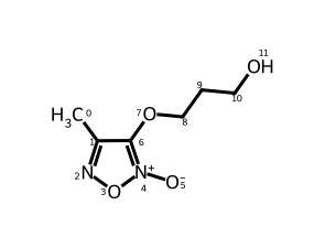 Cc1no[n+]([O-])c1OCCCO